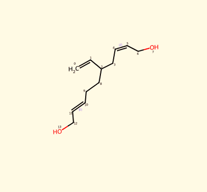 C=CC(C/C=C\CO)CC/C=C/CO